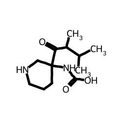 CC(C)C(C)C(=O)C1(NC(=O)O)CCCNC1